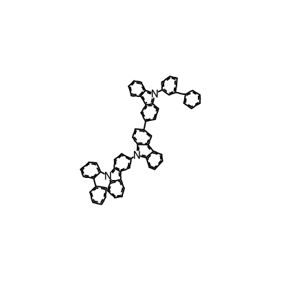 c1ccc(-c2cccc(-n3c4ccccc4c4cc(-c5ccc6c(c5)c5ccccc5n6-c5ccc6c(c5)c5ccccc5n6-c5ccccc5-c5ccccc5)ccc43)c2)cc1